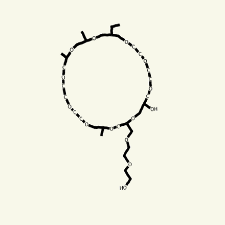 CCC1COCCOCCOCC(O)COC(COCCOCCO)COC(C)COCCOCCOCC(C)OCC(C)OC1